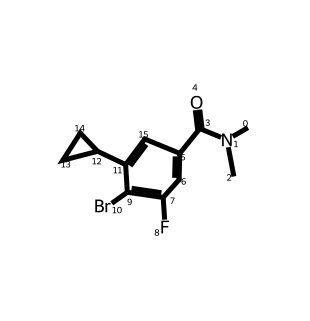 CN(C)C(=O)c1cc(F)c(Br)c(C2CC2)c1